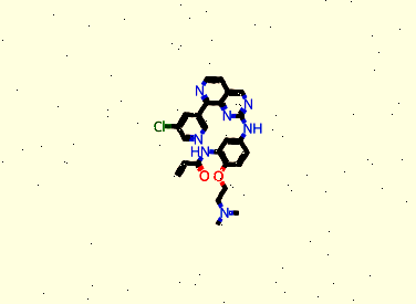 C=CC(=O)Nc1cc(Nc2ncc3ccnc(-c4cncc(Cl)c4)c3n2)ccc1OCCN(C)C